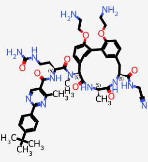 Cc1nc(-c2ccc(C(C)(C)C)cc2)ncc1C(=O)N[C@@H](CCNC(N)=O)C(=O)N(C)[C@@H]1C(=O)N[C@@H](C)C(=O)N[C@H](C(=O)NCC#N)Cc2ccc(OCCN)c(c2)-c2cc1ccc2OCCN